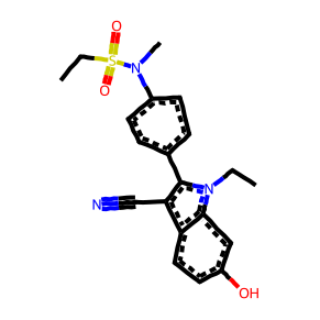 CCn1c(-c2ccc(N(C)S(=O)(=O)CC)cc2)c(C#N)c2ccc(O)cc21